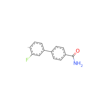 NC(=O)c1ccc(-c2cc[c]c(F)c2)cc1